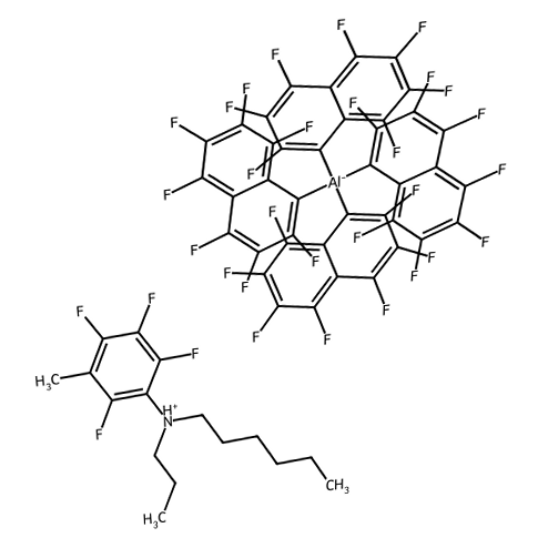 CCCCCC[NH+](CCC)c1c(F)c(C)c(F)c(F)c1F.Fc1c(F)c(F)c2[c]([Al-]([c]3c(F)c(F)c(F)c4c(F)c(F)c(F)c(F)c34)([c]3c(F)c(F)c(F)c4c(F)c(F)c(F)c(F)c34)[c]3c(F)c(F)c(F)c4c(F)c(F)c(F)c(F)c34)c(F)c(F)c(F)c2c1F